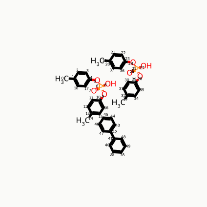 Cc1ccc(OP(=O)(O)Oc2ccc(C)cc2)cc1.Cc1ccc(OP(=O)(O)Oc2ccc(C)cc2)cc1.c1ccc(-c2ccccc2)cc1